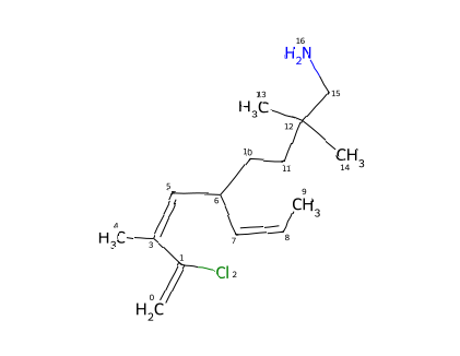 C=C(Cl)/C(C)=C\C(/C=C\C)CCC(C)(C)CN